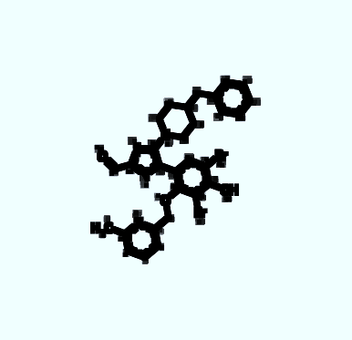 Cc1cccc(COc2c(-c3nc(C=O)sc3N3CCC(Cc4ccccc4)CC3)cc(Br)c(O)c2Br)n1